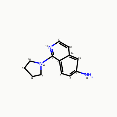 Nc1ccc2c(N3CCCC3)nccc2c1